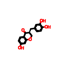 O=C1c2ccc(O)cc2OC[C@@H]1Cc1ccc(O)c(O)c1